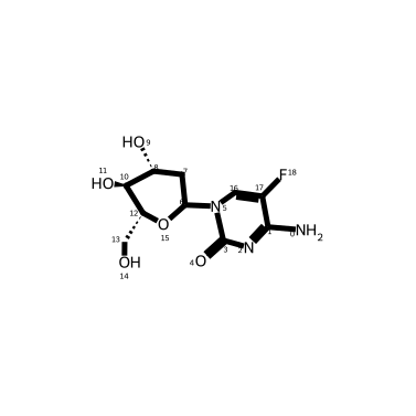 Nc1nc(=O)n(C2C[C@@H](O)[C@H](O)[C@@H](CO)O2)cc1F